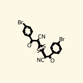 N#CC(C(=O)c1ccc(Br)cc1)=c1sc(=C(C#N)C(=O)c2ccc(Br)cc2)s1